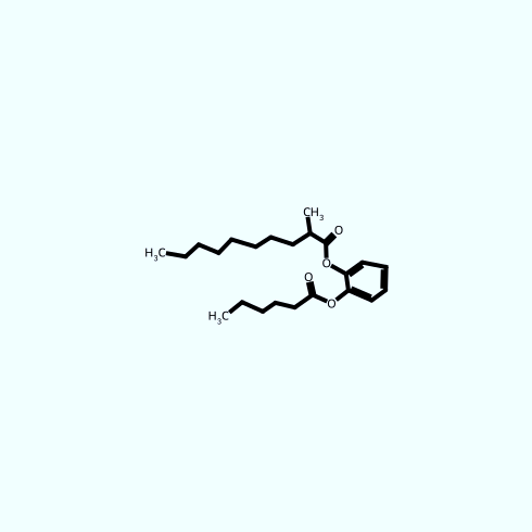 CCCCCCCCC(C)C(=O)Oc1ccccc1OC(=O)CCCCC